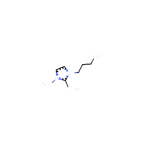 CCCCCCCCCCCCC[n+]1ccn(CCCCCCCCC)c1CCCCC